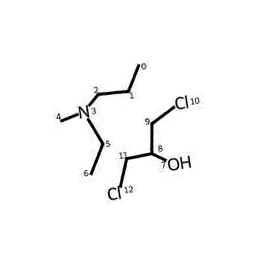 CCCN(C)CC.OC(CCl)CCl